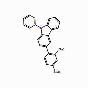 COc1ccc(-c2ccc3c(c2)c2ccccc2n3-c2ccccc2)c(C=O)c1